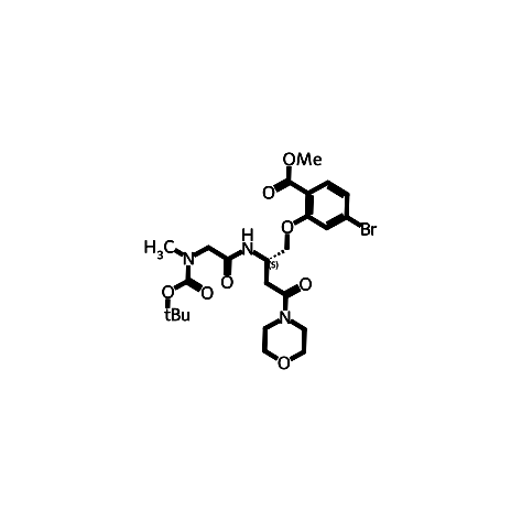 COC(=O)c1ccc(Br)cc1OC[C@H](CC(=O)N1CCOCC1)NC(=O)CN(C)C(=O)OC(C)(C)C